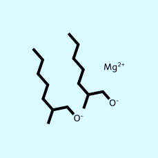 CCCCCC(C)C[O-].CCCCCC(C)C[O-].[Mg+2]